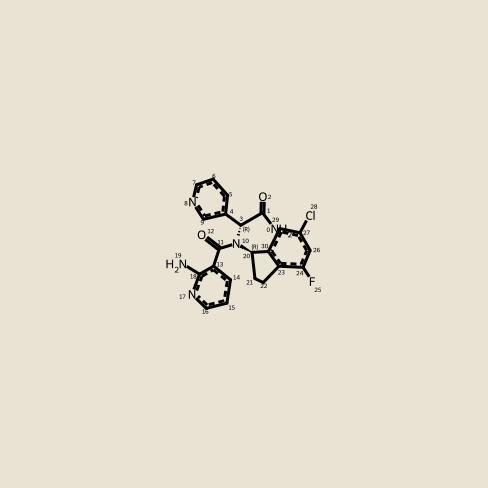 NC(=O)[C@@H](c1cccnc1)N(C(=O)c1cccnc1N)[C@@H]1CCc2c(F)cc(Cl)cc21